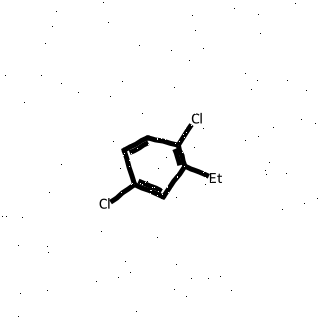 [CH2]Cc1cc(Cl)ccc1Cl